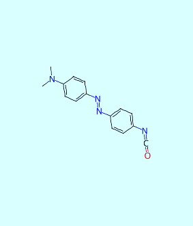 CN(C)c1ccc(N=Nc2ccc(N=C=O)cc2)cc1